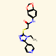 CCn1c(SCC(=O)Nc2ccc3c(c2)OCO3)nnc1-c1ccncc1